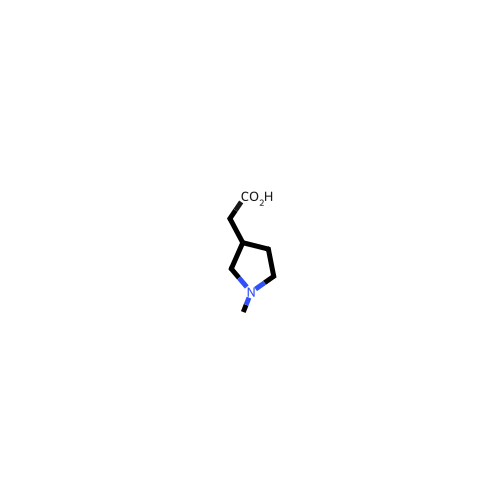 CN1CCC(CC(=O)O)C1